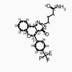 NC(=O)CCCn1nc2c3ccccc3oc(-c3ccc(C(F)(F)F)cc3)c-2c1=O